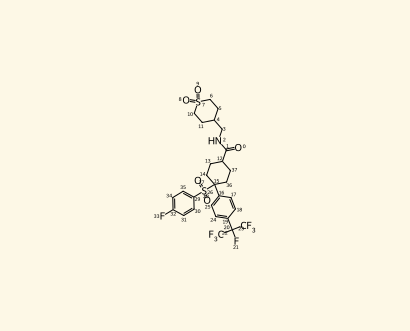 O=C(NCC1CCS(=O)(=O)CC1)C1CCC(c2ccc(C(F)(C(F)(F)F)C(F)(F)F)cc2)(S(=O)(=O)c2ccc(F)cc2)CC1